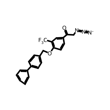 [N-]=[N+]=NCC(=O)c1ccc(OCc2ccc(-c3ccccc3)cc2)c(C(F)(F)F)c1